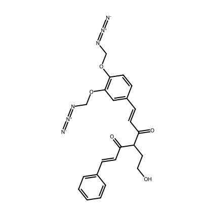 [N-]=[N+]=NCOc1ccc(/C=C/C(=O)C(CCO)C(=O)/C=C/c2ccccc2)cc1OCN=[N+]=[N-]